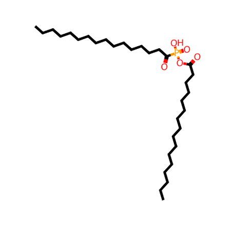 CCCCCCCCCCCCCCCC(=O)OP(=O)(O)C(=O)CCCCCCCCCCCCCCC